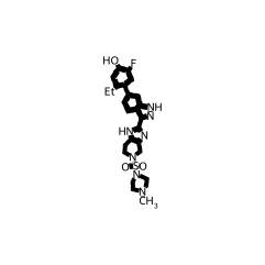 CCc1cc(O)c(F)cc1-c1ccc2c(-c3nc4c([nH]3)CCN(S(=O)(=O)N3CCN(C)CC3)C4)n[nH]c2c1